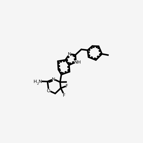 Cc1ccc(Cc2nc3ccc(C4(C)N=C(N)OCC4(F)F)cc3[nH]2)cc1